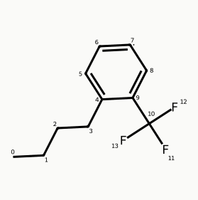 CCCCc1cc[c]cc1C(F)(F)F